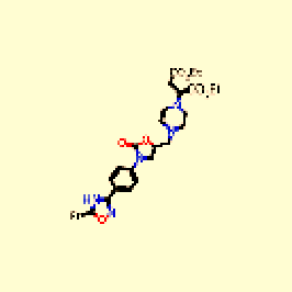 CCOC(=O)CC(C(=O)OCC)N1CCN(CC2CN(c3ccc(C4=NOC(CC)N4)cc3)C(=O)O2)CC1